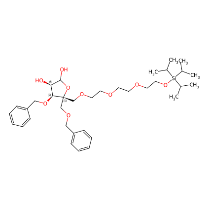 CC(C)[Si](OCCOCCOCCOC[C@]1(COCc2ccccc2)OC(O)[C@H](O)[C@@H]1OCc1ccccc1)(C(C)C)C(C)C